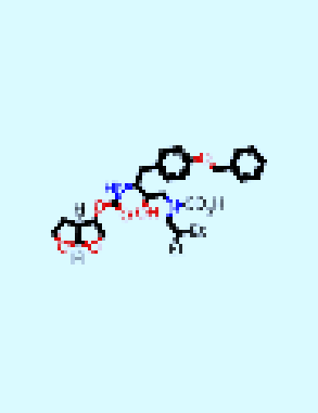 CCC(CC)CN(CC(O)C(Cc1ccc(OCc2ccccc2)cc1)NC(=O)O[C@H]1CO[C@H]2OCC[C@H]21)C(=O)O